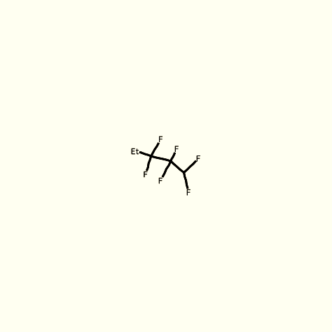 CCC(F)(F)C(F)(F)C(F)F